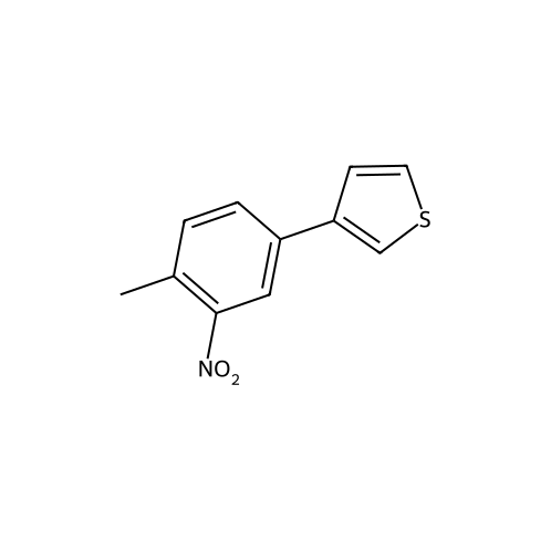 Cc1ccc(-c2ccsc2)cc1[N+](=O)[O-]